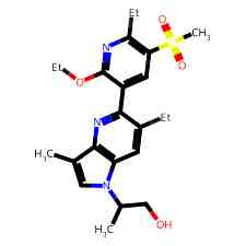 CCOc1nc(CC)c(S(C)(=O)=O)cc1-c1nc2c(C)cn(C(C)CO)c2cc1CC